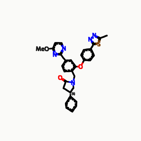 COc1ccnc(-c2ccc(CN3C[C@H](c4ccccc4)CC3=O)c(Oc3ccc(-c4nnc(C)s4)cc3)c2)n1